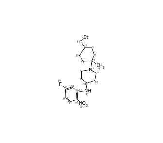 CCOC1CCC(C)(N2CCC(Nc3cc(F)ccc3[N+](=O)[O-])CC2)CC1